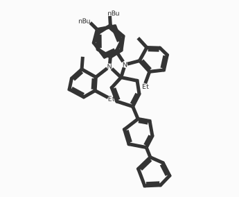 CCCCc1ccc(N(c2c(C)cccc2CC)C2(N(c3ccc(CCCC)cc3)c3c(C)cccc3CC)C=CC(c3ccc(-c4ccccc4)cc3)=CC2)cc1